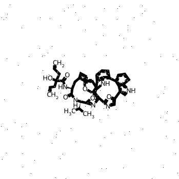 C=CCC(O)(CC=C)C(=O)N[C@H]1Cc2ccc3c(c2)C24c5cccc(c5NC2O3)-c2cccc3[nH]cc(c23)-c2cnc(o2)-c2nc(oc24)[C@H](C(C)C)NC1=O